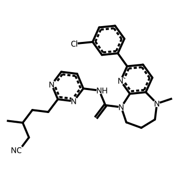 C=C(Nc1ccnc(CCC(C)CC#N)n1)N1CCCN(C)c2ccc(-c3cccc(Cl)c3)nc21